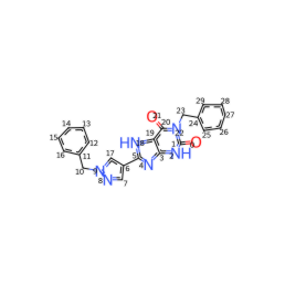 O=c1[nH]c2nc(-c3cnn(Cc4ccccc4)c3)[nH]c2c(=O)n1Cc1ccccc1